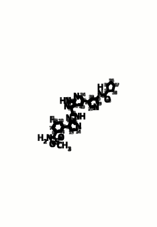 CS(=O)(=O)C(N)c1cc(F)cc(-c2ccnc3[nH]c(-c4n[nH]c5ncc(-c6cncc(NC(=O)C7CCCC7)c6)cc45)nc23)c1